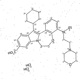 CCN(CCN1CCOCC1)c1cccc2c1OCCn1c-2c(C2CCCCC2)c2ccc(C(=O)O)cc21.Cl.Cl